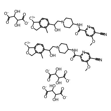 O=C([O-])C(O)C(O)C(=O)[O-].O=C([O-])C(O)C(O)C(=O)[O-].O=C([O-])C(O)C(O)C(=O)[O-].[C+3]C1OCc2c1ccc(C(O)CN1CCC(NC(=O)c3cc(OC)c(C#N)cn3)CC1)c2C.[C+3]C1OCc2c1ccc(C(O)CN1CCC(NC(=O)c3cc(OC)c(C#N)cn3)CC1)c2C